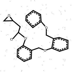 ClC(CC1CO1)Oc1ccccc1COc1ccccc1COc1ccccc1